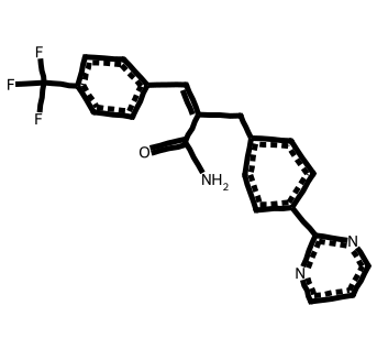 NC(=O)C(=Cc1ccc(C(F)(F)F)cc1)Cc1ccc(-c2ncccn2)cc1